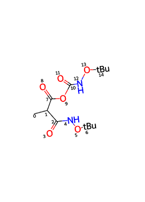 CC(C(=O)NOC(C)(C)C)C(=O)OC(=O)NOC(C)(C)C